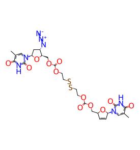 Cc1cn([C@H]2C=CC(COC(=O)OCCSSCCOC(=O)OC[C@H]3O[C@@H](n4cc(C)c(=O)[nH]c4=O)C[C@@H]3N=[N+]=[N-])O2)c(=O)[nH]c1=O